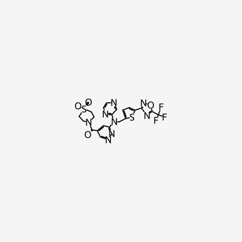 O=C(c1cnnc(N(Cc2ccc(-c3noc(C(F)(F)F)n3)s2)c2cnccn2)c1)N1CCS(=O)(=O)CC1